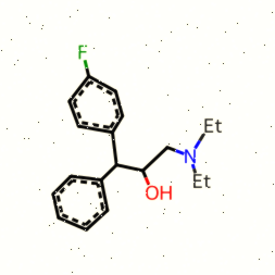 CCN(CC)CC(O)C(c1ccccc1)c1ccc(F)cc1